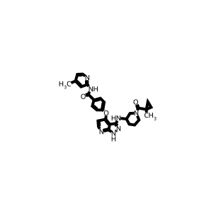 Cc1ccnc(NC(=O)c2ccc(Oc3ccnc4[nH]nc(NC5CCCN(C(=O)C6(C)CC6)C5)c34)cc2)c1